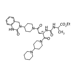 CCOC(=O)C(C)NC(=O)N[C@H](CC(=O)N1CCC(N2Cc3ccccc3NC2=O)CC1)C(=O)N1CCC(N2CCCCC2)CC1